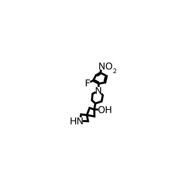 O=[N+]([O-])c1ccc(N2CCC(C3(O)CC4(CNC4)C3)CC2)c(F)c1